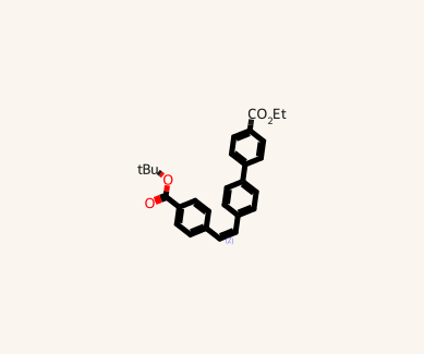 CCOC(=O)c1ccc(-c2ccc(/C=C\c3ccc(C(=O)OC(C)(C)C)cc3)cc2)cc1